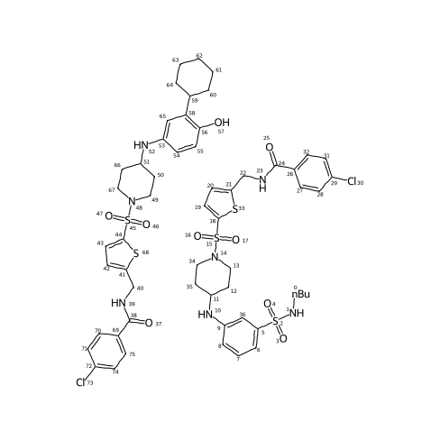 CCCCNS(=O)(=O)c1cccc(NC2CCN(S(=O)(=O)c3ccc(CNC(=O)c4ccc(Cl)cc4)s3)CC2)c1.O=C(NCc1ccc(S(=O)(=O)N2CCC(Nc3ccc(O)c(C4CCCCC4)c3)CC2)s1)c1ccc(Cl)cc1